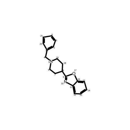 c1ccc(CN2CCC(c3nc4ccccc4o3)CC2)cc1